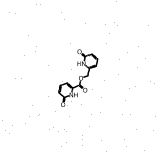 O=C(OCc1cccc(=O)[nH]1)c1cccc(=O)[nH]1